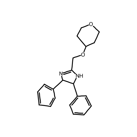 c1ccc(C2N=C(COC3CCOCC3)NC2c2ccccc2)cc1